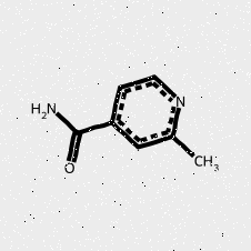 Cc1[c]c(C(N)=O)ccn1